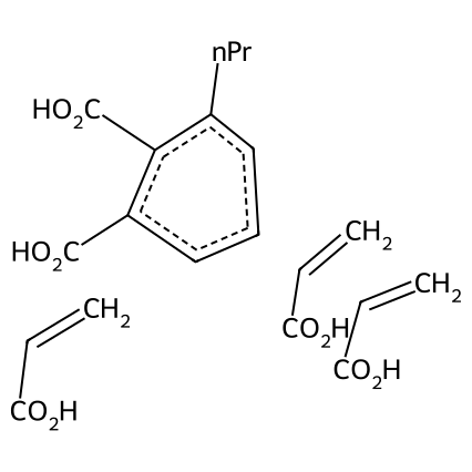 C=CC(=O)O.C=CC(=O)O.C=CC(=O)O.CCCc1cccc(C(=O)O)c1C(=O)O